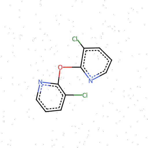 Clc1cccnc1Oc1ncccc1Cl